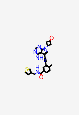 Cc1ccc(C(=O)NCc2ccsc2)cc1C#Cc1cn(C2CC(=O)C2)c2ncnc(N)c12